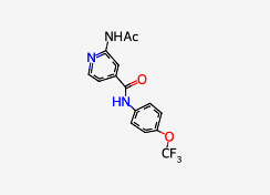 CC(=O)Nc1cc(C(=O)Nc2ccc(OC(F)(F)F)cc2)ccn1